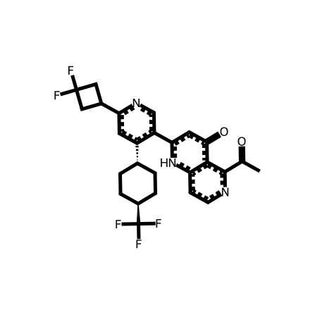 CC(=O)c1nccc2[nH]c(-c3cnc(C4CC(F)(F)C4)cc3[C@H]3CC[C@H](C(F)(F)F)CC3)cc(=O)c12